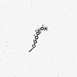 C/C=C/CCC1CCC(c2ccc(-c3ccc(-c4cc(F)c(C(F)(F)Oc5ccc(OC(F)(F)F)c(F)c5)c(F)c4)c(F)c3)nc2)CC1